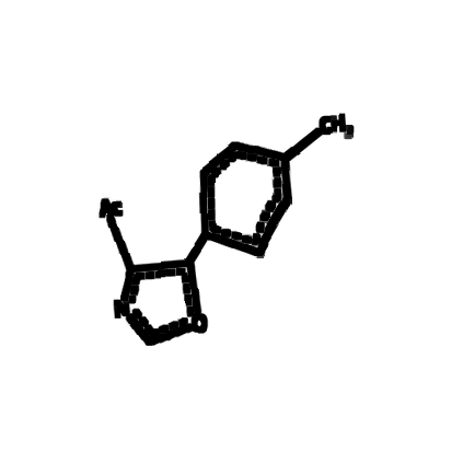 CC(=O)c1ncoc1-c1ccc(C)cc1